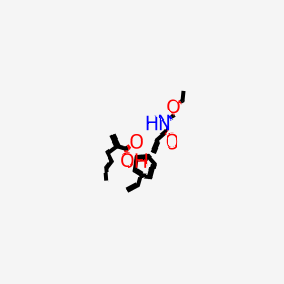 C=C(CCCC)C(=O)O.C=CC(=O)NCOCC.C=Cc1ccccc1